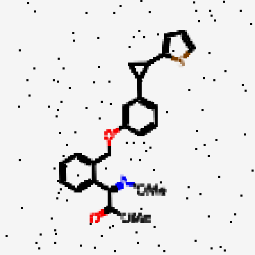 CON=C(C(=O)OC)c1ccccc1COc1cccc(C2CC2c2cccs2)c1